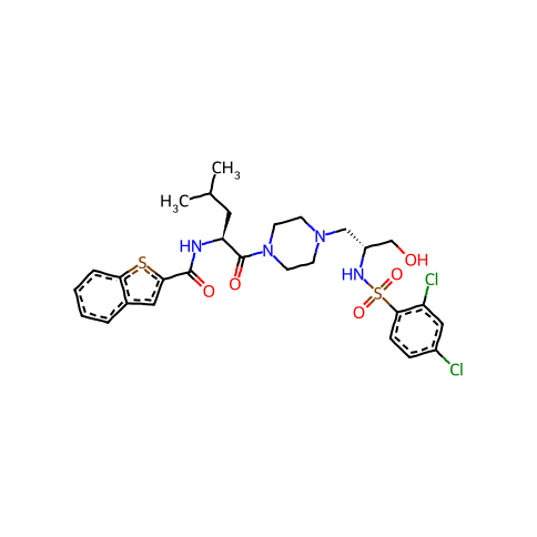 CC(C)C[C@H](NC(=O)c1cc2ccccc2s1)C(=O)N1CCN(C[C@H](CO)NS(=O)(=O)c2ccc(Cl)cc2Cl)CC1